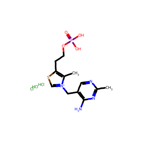 Cc1ncc(C[n+]2csc(CCOP(=O)(O)O)c2C)c(N)n1.Cl.Cl.[Cl-]